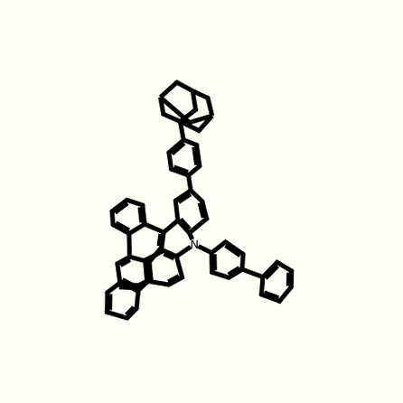 c1ccc(-c2ccc(N(c3ccc(-c4ccccc4)cc3)c3ccc(-c4ccc(C56CC7CC(CC(C7)C5)C6)cc4)cc3-c3cc4ccccc4c4ccccc34)cc2)cc1